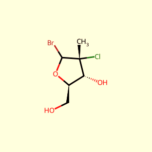 C[C@]1(Cl)C(Br)O[C@H](CO)[C@H]1O